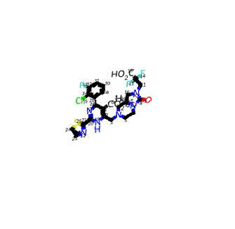 CCOC(=O)C1=C(CN2CCN3C(=O)N(CC(F)(F)C(=O)O)C[C@@H]3C2)NC(c2nccs2)=N[C@H]1c1cccc(F)c1Cl